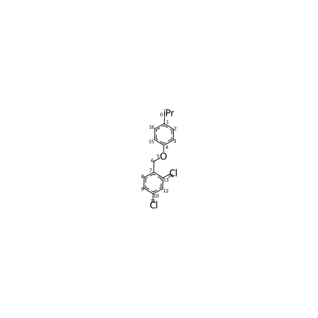 CC(C)c1ccc(OCc2ccc(Cl)cc2Cl)cc1